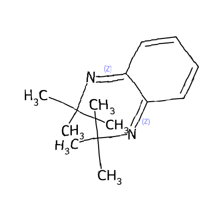 CC(C)(C)/N=C1/C=CC=C/C1=N/C(C)(C)C